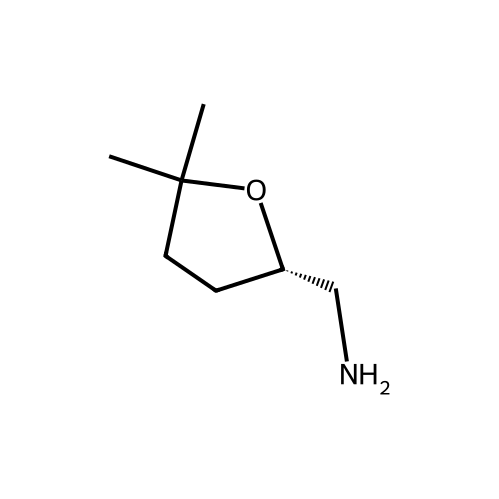 CC1(C)CC[C@@H](CN)O1